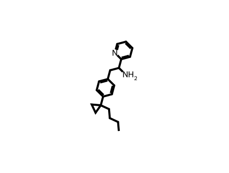 CCCCC1(c2ccc(CC(N)c3ccccn3)cc2)CC1